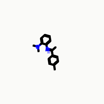 C/C(=N\c1ccccc1N(C)C)c1ccc(C)cc1